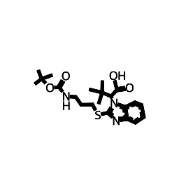 CC(C)(C)OC(=O)NCCCSc1nc2ccccc2n1C(C(=O)O)C(C)(C)C